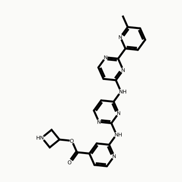 Cc1cccc(-c2nccc(Nc3ccnc(Nc4cc(C(=O)OC5CNC5)ccn4)n3)n2)n1